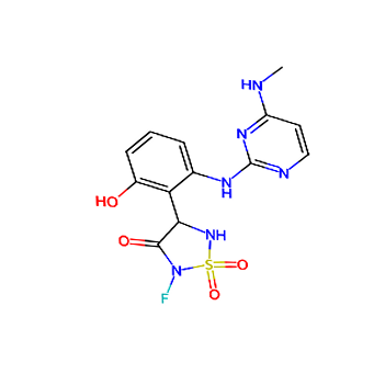 CNc1ccnc(Nc2cccc(O)c2C2NS(=O)(=O)N(F)C2=O)n1